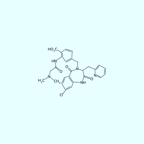 CN(C)CC(=O)Nc1cc(CN2C(=O)c3ccc(Cl)cc3NC(=O)C2Cc2ccccn2)ccc1C(=O)O